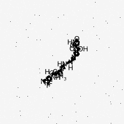 CC(C)(C(=O)Nc1ccc(C#N)c(C(F)(F)F)c1)n1cc(N2CC(NCCNC3CN(c4ccc5c(c4)C(=O)N(C4CCC(=O)NC4=O)C5O)C3)C2)cn1